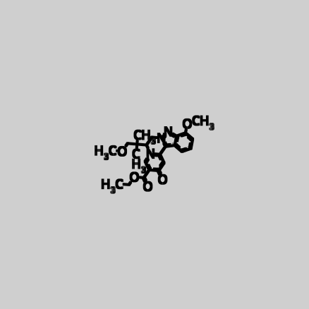 CCOC(=O)c1cn2c(cc1=O)-c1c3cccc(OC)c3nn1CC2C(C)(C)COC